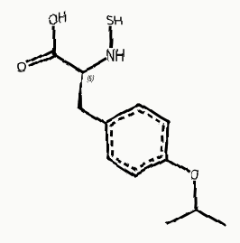 CC(C)Oc1ccc(C[C@H](NS)C(=O)O)cc1